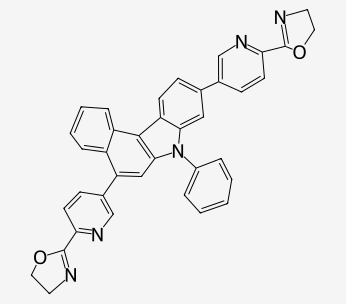 c1ccc(-n2c3cc(-c4ccc(C5=NCCO5)nc4)ccc3c3c4ccccc4c(-c4ccc(C5=NCCO5)nc4)cc32)cc1